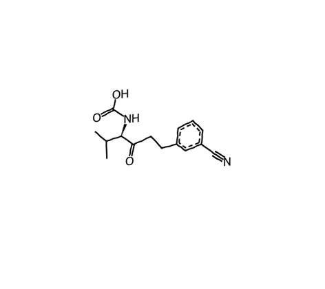 CC(C)[C@@H](NC(=O)O)C(=O)CCc1cccc(C#N)c1